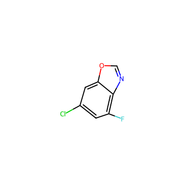 Fc1cc(Cl)cc2ocnc12